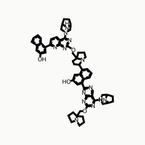 Oc1cc(-c2ccc3c(N4CC5CCC(C4)N5)nc(OCC45CCCN4C(c4cccc6c(-c7ncc8c(N9CC%10CCC(C9)N%10)nc(OCC9%10CCCN9CCC%10)nc8n7)cc(O)cc46)CC5)nc3n2)c2ccccc2c1